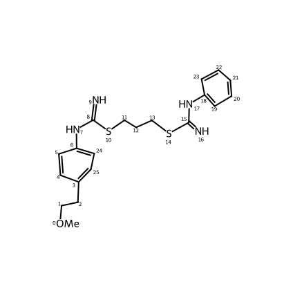 COCCc1ccc(NC(=N)SCCCSC(=N)Nc2ccccc2)cc1